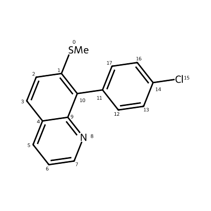 CSc1ccc2cccnc2c1-c1ccc(Cl)cc1